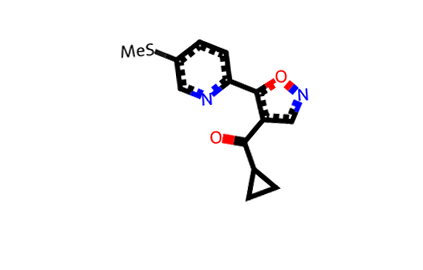 CSc1ccc(-c2oncc2C(=O)C2CC2)nc1